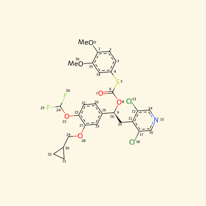 COc1ccc(SC(=O)O[C@@H](Cc2c(Cl)cncc2Cl)c2ccc(OC(F)F)c(OCC3CC3)c2)cc1OC